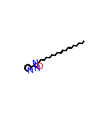 CCCCC/C=C/C/C=C/CCCCCCCc1nc(-c2ccccn2)no1